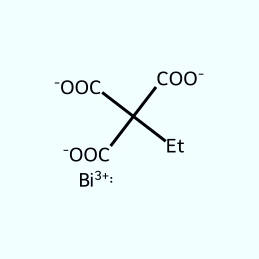 CCC(C(=O)[O-])(C(=O)[O-])C(=O)[O-].[Bi+3]